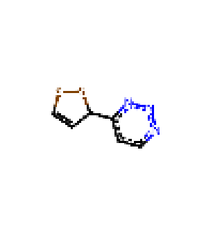 C1=CC(c2ccnnn2)SS1